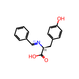 O=C(O)[C@H](Cc1ccc(O)cc1)/N=C/c1ccccc1